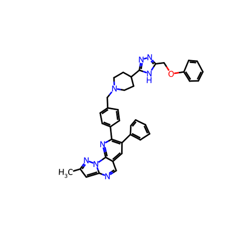 Cc1cc2ncc3cc(-c4ccccc4)c(-c4ccc(CN5CCC(c6nnc(COc7ccccc7)[nH]6)CC5)cc4)nc3n2n1